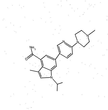 Cc1cn(C(C)C)c2cc(-c3ccc(N4CCN(C)CC4)nc3)cc(C(N)=O)c12